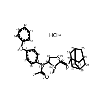 CC(=O)N(c1ccc(Oc2ccccc2)cc1)C1CSC(=NC23CC4CC(CC(C4)C2)C3)N1C.Cl